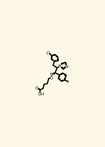 O=C(O)CCCCO/N=C(\c1ccc(F)cc1)C(Cc1cccc(Cl)c1)n1ccnc1